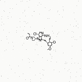 C=CC(=O)N1CC[C@H](n2nc(C#Cc3cc(OC)cc(OC)c3F)c3c(N)ncc(Cl)c32)C1